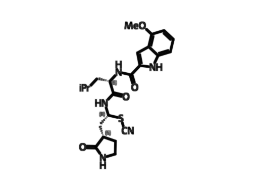 COc1cccc2[nH]c(C(=O)N[C@@H](CC(C)C)C(=O)N[C@@H](C[C@@H]3CCNC3=O)SC#N)cc12